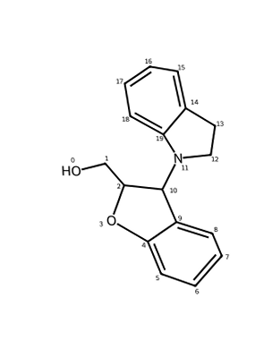 OCC1Oc2ccccc2C1N1CCc2ccccc21